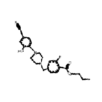 CCCOC(=O)c1ccc(CN2CCN(c3ccc(C#N)cc3O)CC2)cc1F